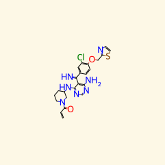 C=CC(=O)N1CCCC(Nc2ncnc(N)c2C(=N)c2ccc(OCc3nccs3)c(Cl)c2)C1